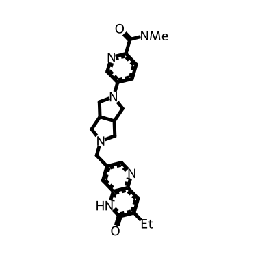 CCc1cc2ncc(CN3CC4CN(c5ccc(C(=O)NC)nc5)CC4C3)cc2[nH]c1=O